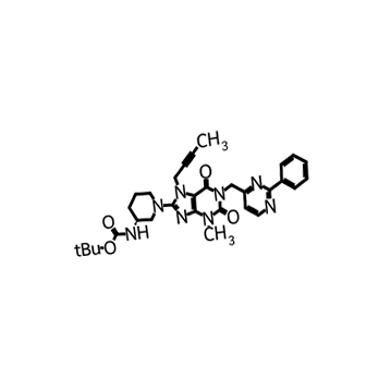 CC#CCn1c(N2CCC[C@@H](NC(=O)OC(C)(C)C)C2)nc2c1c(=O)n(Cc1ccnc(-c3ccccc3)n1)c(=O)n2C